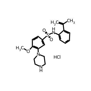 C=C(C)c1ccccc1NS(=O)(=O)c1ccc(OC)c(N2CCNCC2)c1.Cl